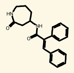 O=C1CC(NC(=O)C(=Cc2ccccc2)c2ccccc2)CCCN1